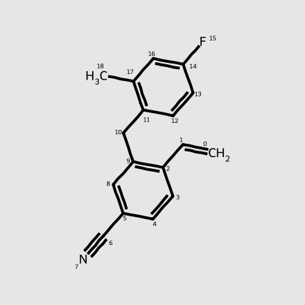 C=Cc1ccc(C#N)cc1Cc1ccc(F)cc1C